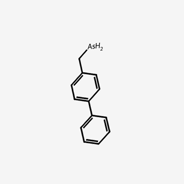 [AsH2]Cc1ccc(-c2ccccc2)cc1